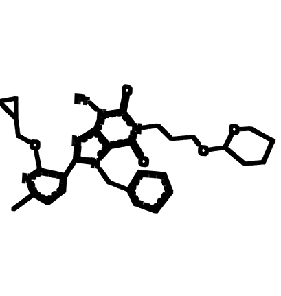 Cc1ccc(-c2nc3c(c(=O)n(CCCOC4CCCCO4)c(=O)n3C(C)C)n2Cc2ccccc2)c(OCC2CC2)n1